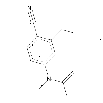 C=C(C)N(C)c1ccc(C#N)c(CC)c1